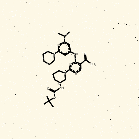 CC(C)c1cc(Nc2nc(N3CCC[C@H](NC(=O)OC(C)(C)C)C3)ncc2C(N)=O)cc(N2CCCCC2)n1